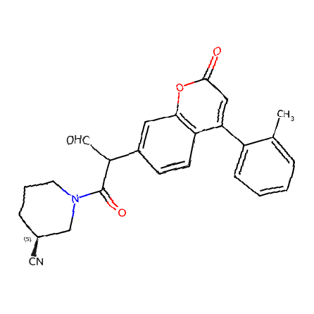 Cc1ccccc1-c1cc(=O)oc2cc(C(C=O)C(=O)N3CCC[C@H](C#N)C3)ccc12